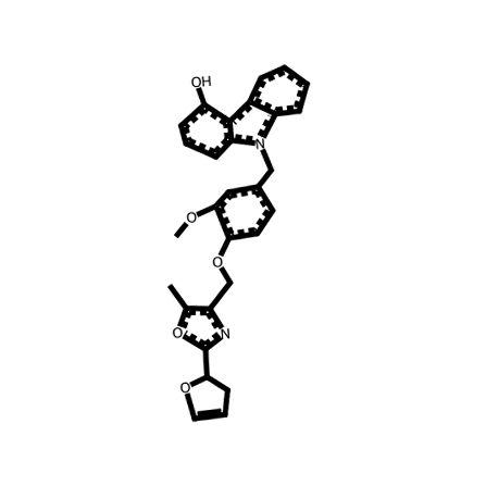 COc1cc(Cn2c3ccccc3c3c(O)cccc32)ccc1OCc1nc(C2CC=CO2)oc1C